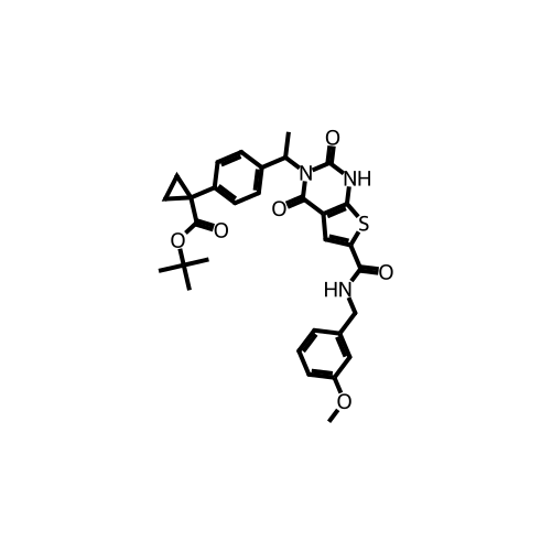 COc1cccc(CNC(=O)c2cc3c(=O)n(C(C)c4ccc(C5(C(=O)OC(C)(C)C)CC5)cc4)c(=O)[nH]c3s2)c1